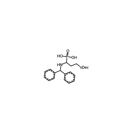 CCCCCCCCCCCCC(NC(c1ccccc1)c1ccccc1)P(=O)(O)O